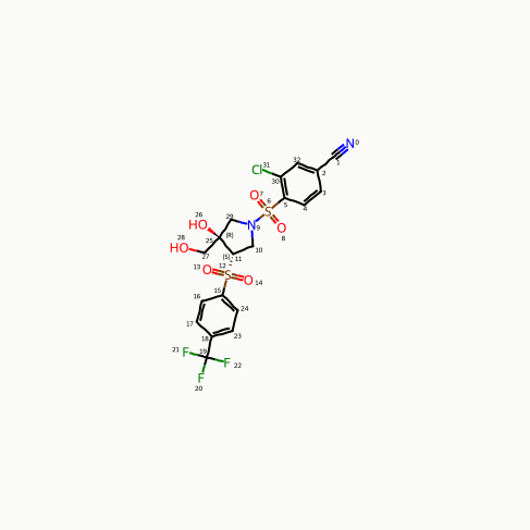 N#Cc1ccc(S(=O)(=O)N2C[C@H](S(=O)(=O)c3ccc(C(F)(F)F)cc3)[C@](O)(CO)C2)c(Cl)c1